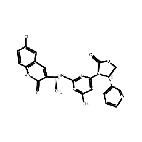 Cc1nc(N[C@@H](C)c2cc3cc(Cl)ccc3[nH]c2=O)nc(N2C(=O)OC[C@@H]2c2cccnc2)n1